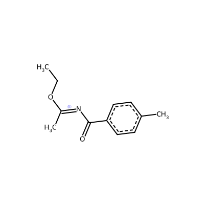 CCO/C(C)=N/C(=O)c1ccc(C)cc1